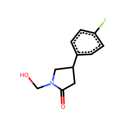 O=C1CC(c2ccc(F)cc2)CN1CO